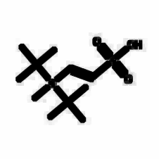 CC(C)(C)[Si](C)(/C=[C]/S(=O)(=O)O)C(C)(C)C